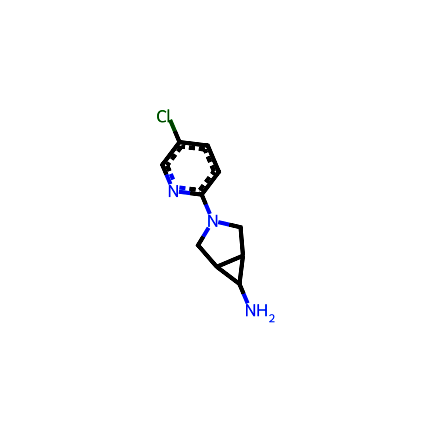 NC1C2CN(c3ccc(Cl)cn3)CC12